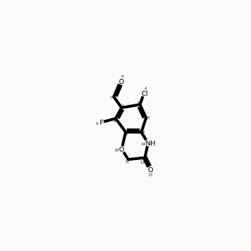 O=Cc1c(Cl)cc2c(c1F)OCC(=O)N2